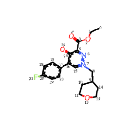 CCOC(=O)c1nn(CC2CCOCC2)cc(-c2ccc(F)cc2)c1=O